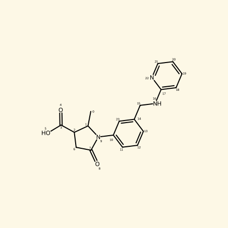 CC1C(C(=O)O)CC(=O)N1c1cccc(CNc2ccccn2)c1